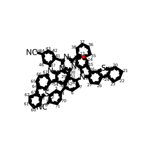 N#Cc1ccc(-c2ccc(-n3c4ccccc4c4c5sc6ccccc6c5ccc43)c(-c3nc(-c4ccccc4)nc(-c4ccc(C#N)cc4-n4c5ccccc5c5c6sc7ccccc7c6ccc54)n3)c2)cc1